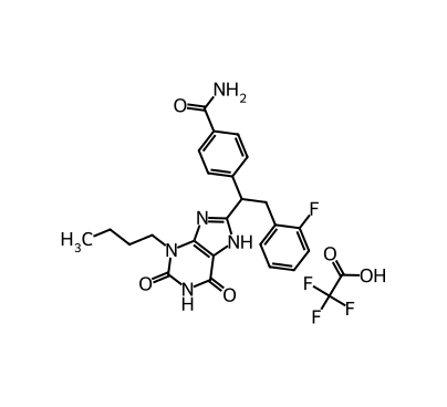 CCCCn1c(=O)[nH]c(=O)c2[nH]c(C(Cc3ccccc3F)c3ccc(C(N)=O)cc3)nc21.O=C(O)C(F)(F)F